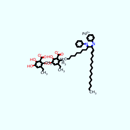 CCCCCCCCCCCCCC=CC(=Nc1ccccc1)C(CCCCCCCC)=Nc1ccccc1.CCc1cc(O)c(O)c(C(=O)[O-])c1C.CCc1cc(O)c(O)c(C(=O)[O-])c1C.[Pd+2]